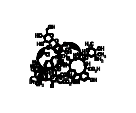 CC(C)C[C@H](C(=O)N[C@H]1C(=O)N[C@@H](CC(N)=O)C(=O)N[C@H]2C(=O)N[C@H]3C(=O)N[C@H](C(=O)N[C@H](C(=O)O)c4cc(O)cc(O)c4-c4cc3ccc4O)[C@H](O[C@H]3C[C@](C)(N)[C@@H](O)[C@H](C)O3)c3ccc(c(Cl)c3)Oc3cc2cc(c3O[C@@H]2O[C@H](CO)[C@@H](O)[C@H](O)[C@H]2O[C@H]2C[C@](C)(NCc3ccc(-c4ccc(Cl)cc4)cc3)[C@@H](O)[C@H](C)O2)Oc2ccc(cc2Cl)[C@H]1O)N(C)C(=O)CCC(=O)N(CC(=O)O)CC(=O)O